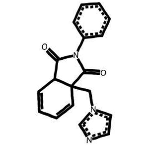 O=C1C2C=CC=CC2(Cn2ccnc2)C(=O)N1c1ccccc1